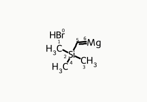 Br.C[Si](C)(C)[CH]=[Mg]